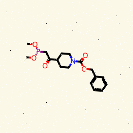 COP(CC(=O)C1CCN(C(=O)OCc2ccccc2)CC1)OC